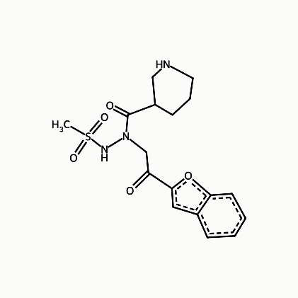 CS(=O)(=O)NN(CC(=O)c1cc2ccccc2o1)C(=O)C1CCCNC1